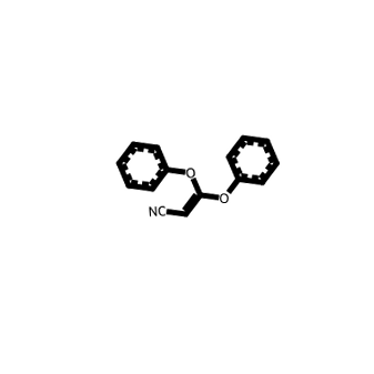 N#CC=C(Oc1ccccc1)Oc1ccccc1